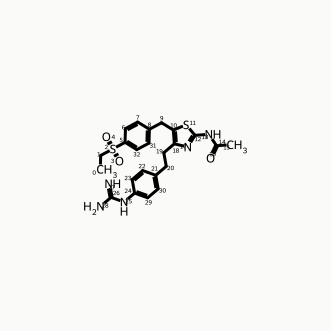 CCS(=O)(=O)c1ccc(Cc2sc(NC(C)=O)nc2CCc2ccc(NC(=N)N)cc2)cc1